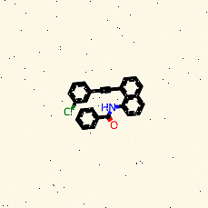 O=C(Nc1cccc2cccc(C#Cc3cccc(Cl)c3)c12)c1ccccc1